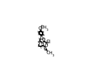 CCOC(=O)C1CCSC(COc2ccc(OC)cc2)N1C(=O)CCl